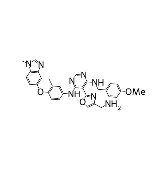 COc1ccc(CNc2ncnc(Nc3ccc(Oc4ccc5c(c4)ncn5C)c(C)c3)c2-c2nc(CN)co2)cc1